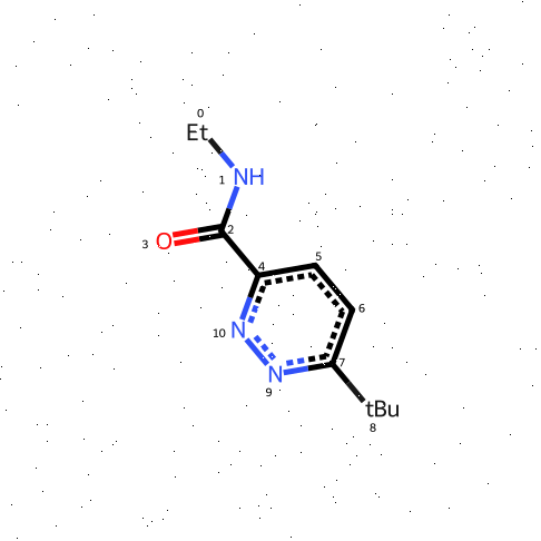 CCNC(=O)c1ccc(C(C)(C)C)nn1